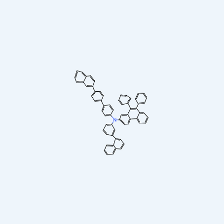 c1ccc(-c2c(-c3ccccc3)c3cc(N(c4ccc(-c5ccc(-c6ccc7ccccc7c6)cc5)cc4)c4cccc(-c5cccc6ccccc56)c4)ccc3c3ccccc23)cc1